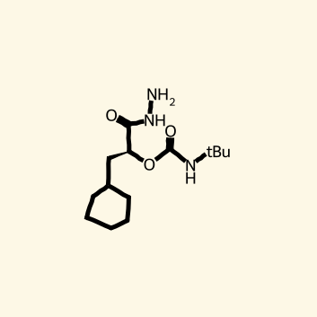 CC(C)(C)NC(=O)O[C@@H](CC1CCCCC1)C(=O)NN